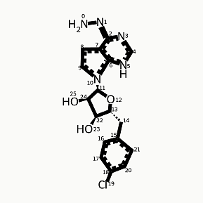 N/N=c1/nc[nH]c2c1ccn2[C@@H]1O[C@H](Cc2ccc(Cl)cc2)[C@@H](O)[C@H]1O